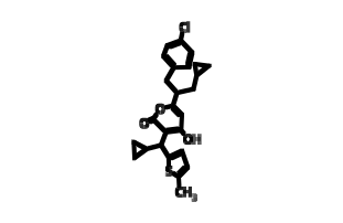 Cc1ccc(C(c2c(O)cc(C(Cc3ccc(Cl)cc3)CC3CC3)oc2=O)C2CC2)s1